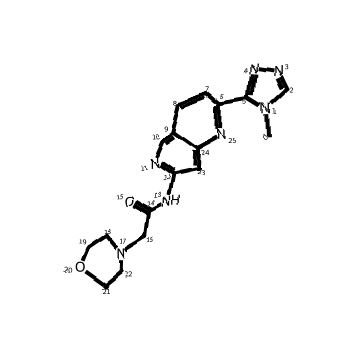 Cn1cnnc1-c1ccc2cnc(NC(=O)CN3CCOCC3)cc2n1